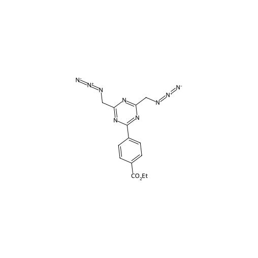 CCOC(=O)c1ccc(-c2nc(CN=[N+]=[N-])nc(CN=[N+]=[N-])n2)cc1